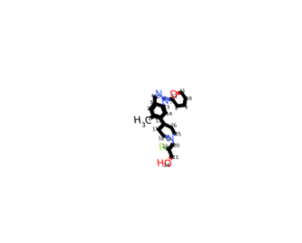 Cc1cc2cnn(C3CCCCO3)c2cc1C1CCN(CC(F)CO)CC1